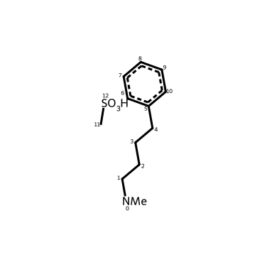 CNCCCCc1ccccc1.CS(=O)(=O)O